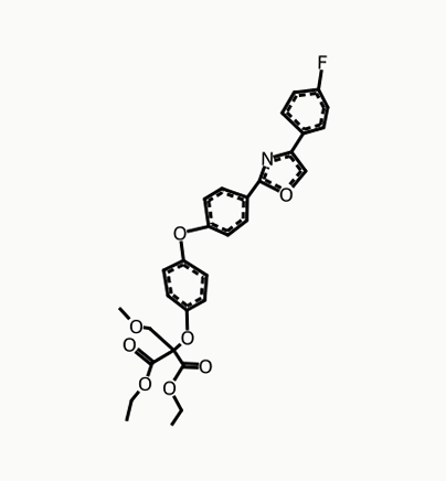 CCOC(=O)C(COC)(Oc1ccc(Oc2ccc(-c3nc(-c4ccc(F)cc4)co3)cc2)cc1)C(=O)OCC